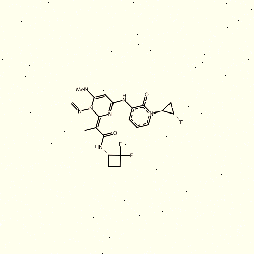 C=NN1C(NC)=CC(Nc2cccn([C@H]3C[C@@H]3F)c2=O)=N/C1=C(/C)C(=O)N[C@H]1CCC1(F)F